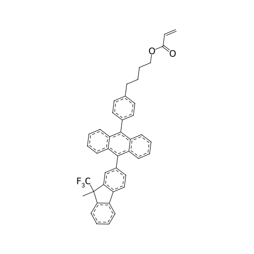 C=CC(=O)OCCCCc1ccc(-c2c3ccccc3c(-c3ccc4c(c3)C(C)(C(F)(F)F)c3ccccc3-4)c3ccccc23)cc1